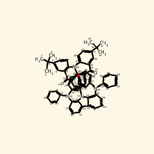 CC(C)(C)c1ccc2c(c1)c(=O)c1cc(-n3c4c(N(c5ccccc5)c5ccccc5)cccc4c4cccc(N(c5ccccc5)c5ccccc5)c43)cc3c(=O)c4cc(C(C)(C)C)ccc4n2c13